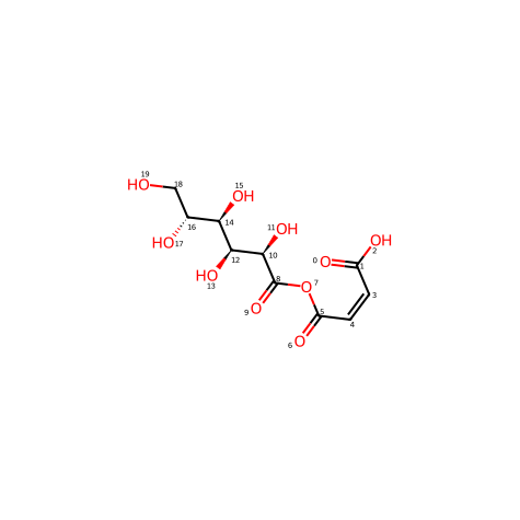 O=C(O)/C=C\C(=O)OC(=O)[C@H](O)[C@@H](O)[C@H](O)[C@H](O)CO